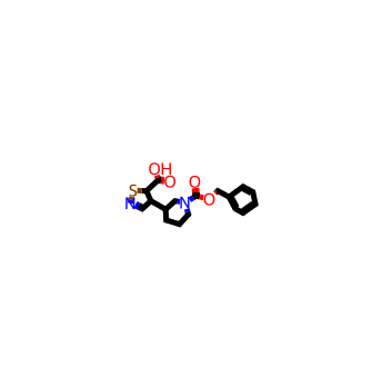 O=C(O)C1SN=CC1C1CCCN(C(=O)OCc2ccccc2)C1